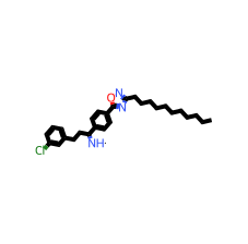 CCCCCCCCCCCc1noc(-c2ccc(C([NH])CCc3cccc(Cl)c3)cc2)n1